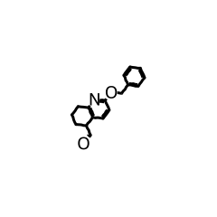 O=CC1CCCc2nc(OCc3ccccc3)ccc21